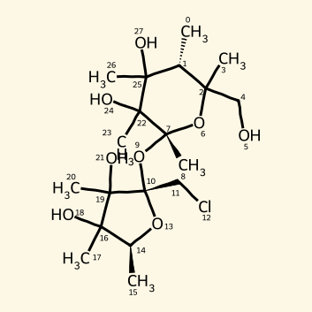 C[C@@H]1C(C)(CO)O[C@](C)(O[C@]2(CCl)O[C@@H](C)C(C)(O)C2(C)O)C(C)(O)C1(C)O